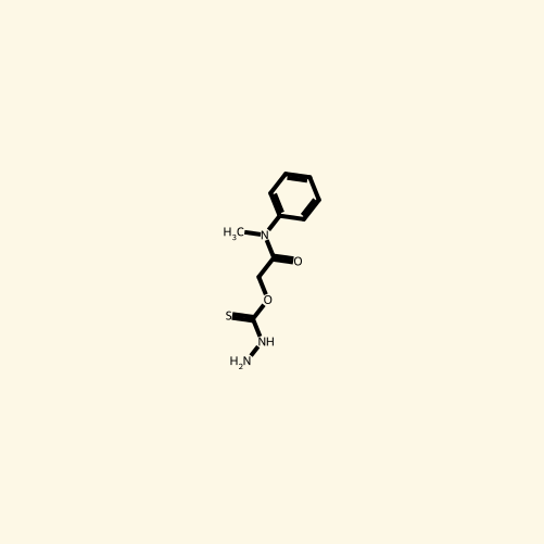 CN(C(=O)COC(=S)NN)c1ccccc1